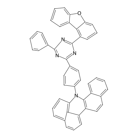 c1ccc(-c2nc(-c3ccc(N4c5c(ccc6ccccc56)-c5cccc6cccc4c56)cc3)nc(-c3cccc4oc5ccccc5c34)n2)cc1